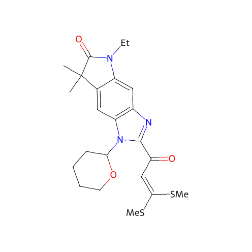 CCN1C(=O)C(C)(C)c2cc3c(cc21)nc(C(=O)C=C(SC)SC)n3C1CCCCO1